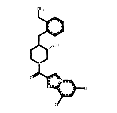 NCc1ccccc1CC1CCN(C(=O)c2cn3cc(Cl)cc(Cl)c3n2)C[C@H]1O